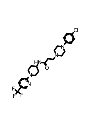 O=C(CCN1CCN(c2ccc(Cl)cc2)CC1)NC1CCN(c2ccc(C(F)(F)F)cn2)CC1